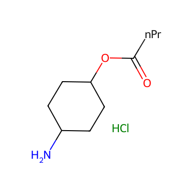 CCCC(=O)OC1CCC(N)CC1.Cl